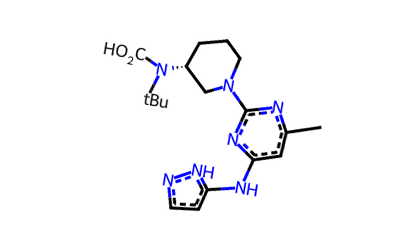 Cc1cc(Nc2ccn[nH]2)nc(N2CCC[C@@H](N(C(=O)O)C(C)(C)C)C2)n1